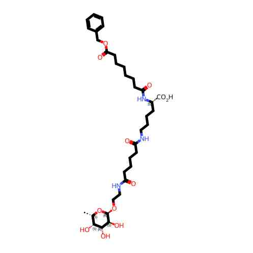 C[C@@H]1O[C@@H](OCCNC(=O)CCCCC(=O)NCCCC[C@H](NC(=O)CCCCCCC(=O)OCc2ccccc2)C(=O)O)[C@@H](O)[C@H](O)[C@@H]1O